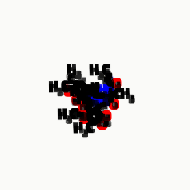 C/C=C/C(=O)N[C@@H](C)C(=O)NC[C@H]1c2c(c(OC(C)=O)c(C)c3c2OCO3)CC2[C@H]3c4c(cc(C)c(OC)c4O)C[C@H](C(C#N)N21)N3C